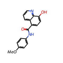 COc1ccc(NC(=O)c2ccc(O)c3ncccc23)cc1